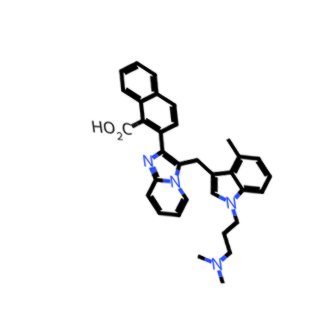 Cc1cccc2c1c(Cc1c(-c3ccc4ccccc4c3C(=O)O)nc3ccccn13)cn2CCCN(C)C